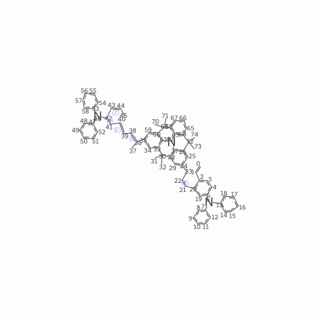 C=Cc1ccc(N(c2ccccc2)c2ccccc2)cc1/C=C\Cc1cc2c3c(c1)C(C)(C)c1cc(/C(C)=C/C=C/C=C(\C=C/C)N(c4ccccc4)c4ccccc4)cc4c1N3c1c(cccc1C4(C)C)C2(C)C